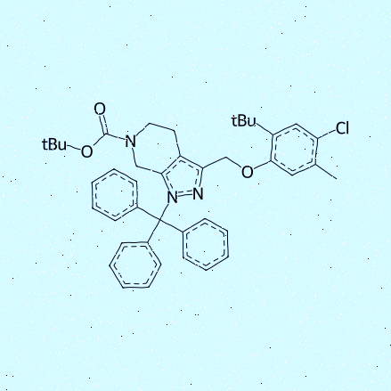 Cc1cc(OCc2nn(C(c3ccccc3)(c3ccccc3)c3ccccc3)c3c2CCN(C(=O)OC(C)(C)C)C3)c(C(C)(C)C)cc1Cl